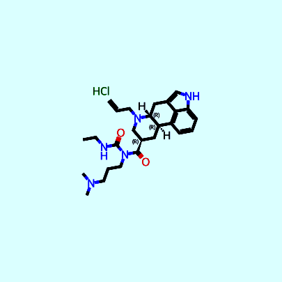 C=CCN1C[C@H](C(=O)N(CCCN(C)C)C(=O)NCC)C[C@@H]2c3cccc4[nH]cc(c34)C[C@H]21.Cl